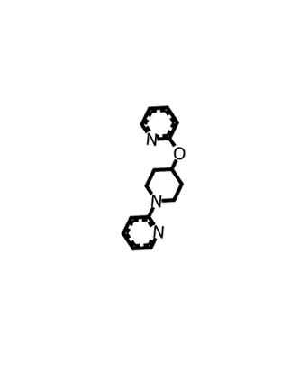 c1ccc(OC2CCN(c3ccccn3)CC2)nc1